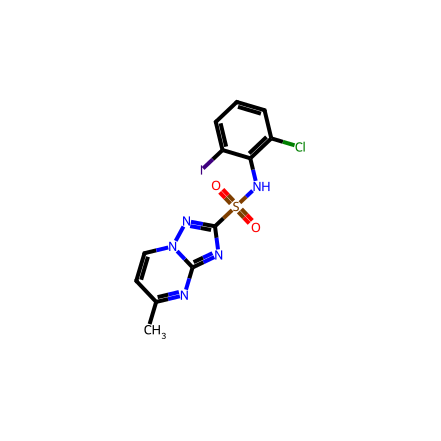 Cc1ccn2nc(S(=O)(=O)Nc3c(Cl)cccc3I)nc2n1